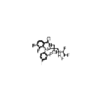 O=C(c1ccc(F)c(F)c1Nc1ccc(I)cc1F)N1CC(O)(CNC(F)C(F)F)C1